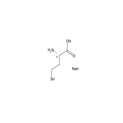 N[C@@H](CCS)C(=O)O.[NaH]